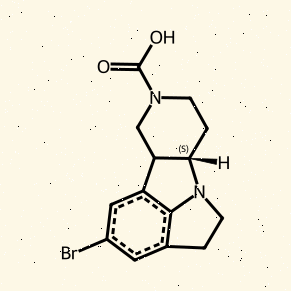 O=C(O)N1CC[C@H]2C(C1)c1cc(Br)cc3c1N2CC3